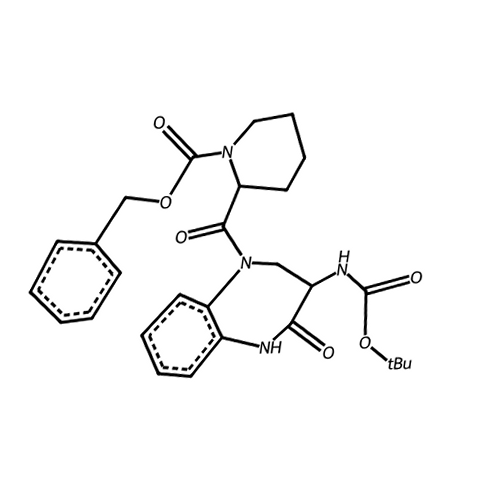 CC(C)(C)OC(=O)NC1CN(C(=O)C2CCCCN2C(=O)OCc2ccccc2)c2ccccc2NC1=O